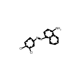 Nc1ccc(N=Nc2ccc(Cl)c(Cl)c2)c2ccccc12